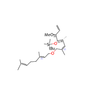 C=C[C@H](OC)[C@@H](O[Si](C)(C)C(C)(C)C)[C@H](C)/C=C(/C)COC/C=C(\C)CCC=C(C)C